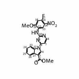 COC(=O)c1cn(-c2ccnc(Nc3cc([N+](=O)[O-])c(F)cc3OC)n2)c2ccccc12